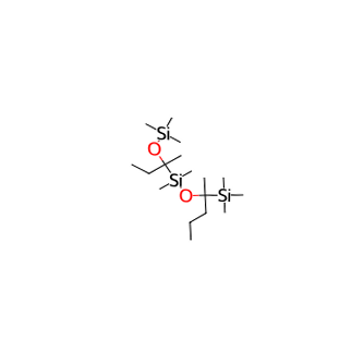 CCCC(C)(O[Si](C)(C)C(C)(CC)O[Si](C)(C)C)[Si](C)(C)C